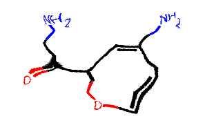 NC(=O)C1C=C(N)C=CO1